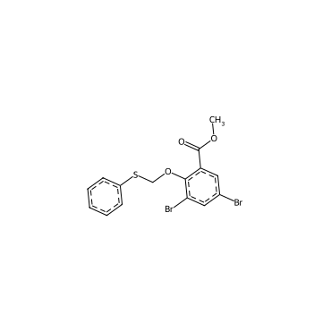 COC(=O)c1cc(Br)cc(Br)c1OCSc1ccccc1